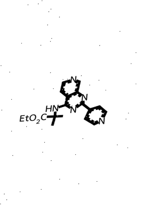 CCOC(=O)C(C)(C)Nc1nc(-c2ccncc2)nc2cnccc12